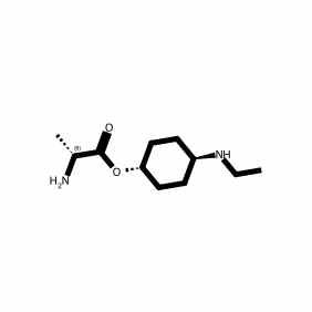 CCN[C@H]1CC[C@H](OC(=O)[C@@H](C)N)CC1